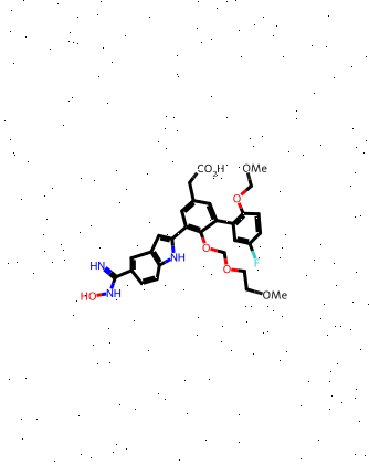 COCCOCOc1c(-c2cc3cc(C(=N)NO)ccc3[nH]2)cc(CC(=O)O)cc1-c1cc(F)ccc1OCOC